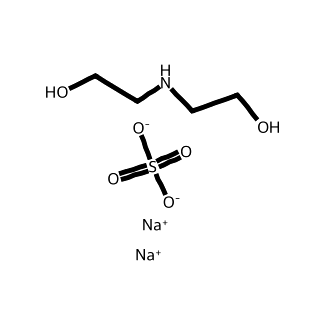 O=S(=O)([O-])[O-].OCCNCCO.[Na+].[Na+]